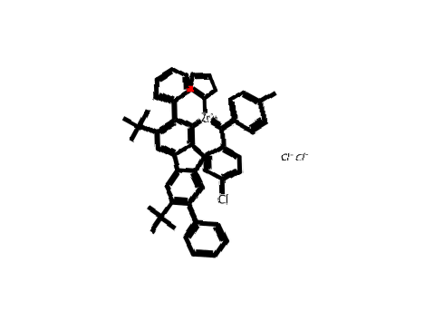 Cc1ccc(/[C](c2ccc(Cl)cc2)=[Zr+2](\[C]2=CC=CC2)[c]2c3c(cc(C(C)(C)C)c2-c2ccccc2)-c2cc(C(C)(C)C)c(-c4ccccc4)cc2C3)cc1.[Cl-].[Cl-]